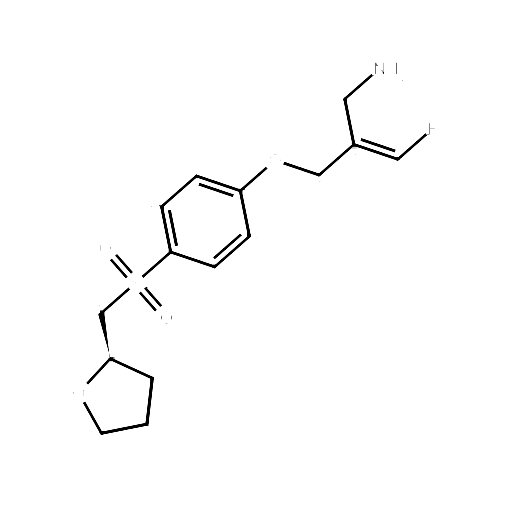 NC/C(=C\F)COc1ccc(S(=O)(=O)C[C@H]2CCCO2)cc1